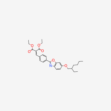 CCCCC(CC)COc1ccc2nc(-c3ccc(C=C(C(=O)OCC)C(=O)OCC)cc3)oc2c1